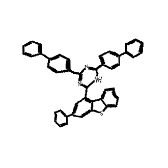 c1ccc(-c2ccc(C3=NC(c4cc(-c5ccccc5)cc5sc6ccccc6c45)NC(c4ccc(-c5ccccc5)cc4)=N3)cc2)cc1